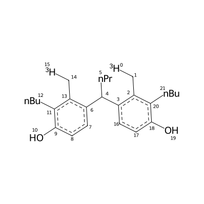 [3H]Cc1c(C(CCC)c2ccc(O)c(CCCC)c2C[3H])ccc(O)c1CCCC